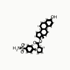 CC12CCC3c4ccc(O)cc4CCC3C1CCC2OC(=O)C1CCCN1c1ccc(S(N)(=O)=O)cc1